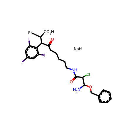 CCC(C(=O)O)C(C(=O)CCCCCNC(=O)C(Cl)C(N)OCc1ccccc1)c1c(I)cc(I)cc1I.[NaH]